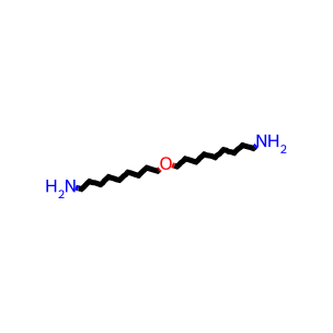 NCCCCCCCCCOCCCCCCCCCN